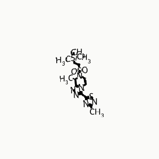 Cc1nsc(-c2nnc3n2CCN(S(=O)(=O)CC[Si](C)(C)C)[C@@H]3C)n1